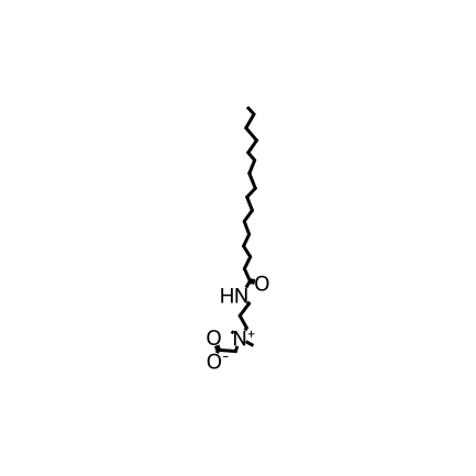 CCCCCCCCCCCCCCCC(=O)NCCC[N+](C)(C)CC(=O)[O-]